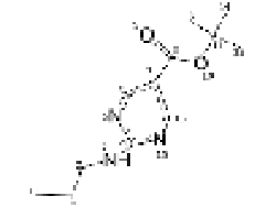 CCCNc1ncc(C(=O)OC(C)(C)C)cn1